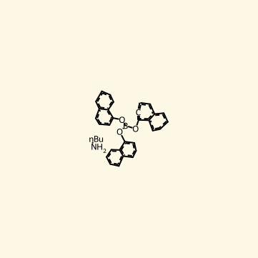 CCCCN.c1ccc2c(OB(Oc3cccc4ccccc34)Oc3cccc4ccccc34)cccc2c1